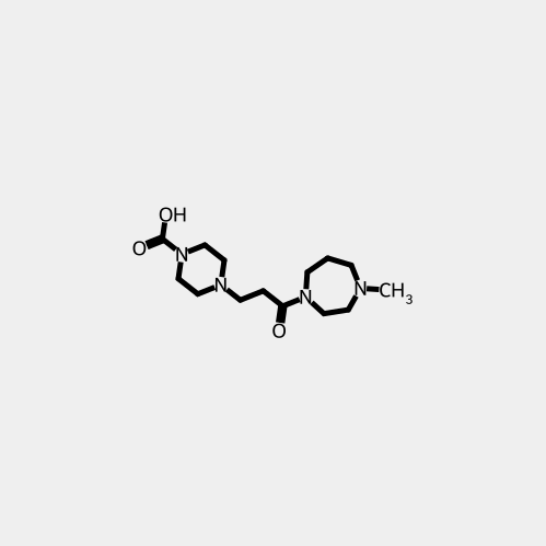 CN1CCCN(C(=O)CCN2CCN(C(=O)O)CC2)CC1